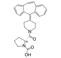 O=C([C@H]1CCCN1C(=O)O)N1CCC(=C2c3ccccc3C=Cc3ccccc32)CC1